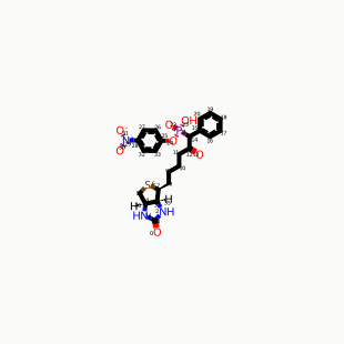 O=C1N[C@H]2[C@H](CS[C@H]2CCCCC(=O)C(c2ccccc2)P(=O)(O)Oc2ccc([N+](=O)[O-])cc2)N1